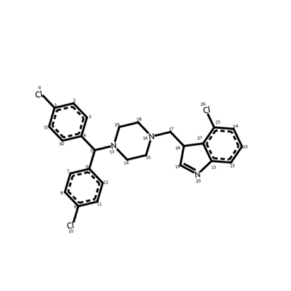 Clc1ccc(C(c2ccc(Cl)cc2)N2CCN(CC3C=Nc4cccc(Cl)c43)CC2)cc1